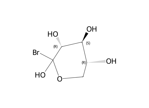 O[C@H]1[C@H](O)COC(O)(Br)[C@@H]1O